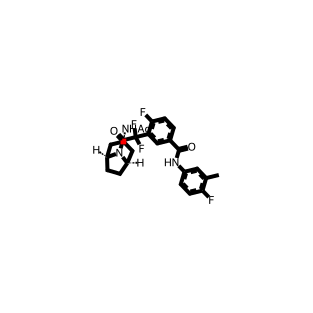 CC(=O)N[C@@H]1C[C@H]2CC[C@@H](C1)N2C(=O)C(F)(F)c1cc(C(=O)Nc2ccc(F)c(C)c2)ccc1F